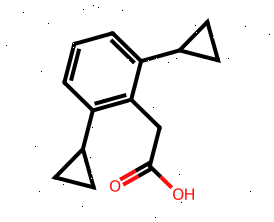 O=C(O)Cc1c(C2CC2)cccc1C1CC1